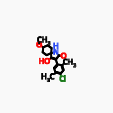 COC1CCC2(CC1)NC(=O)C(c1cc(C)c(Cl)cc1C)=C2O